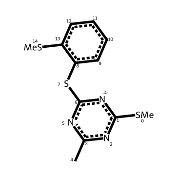 CSc1nc(C)nc(Sc2ccccc2SC)n1